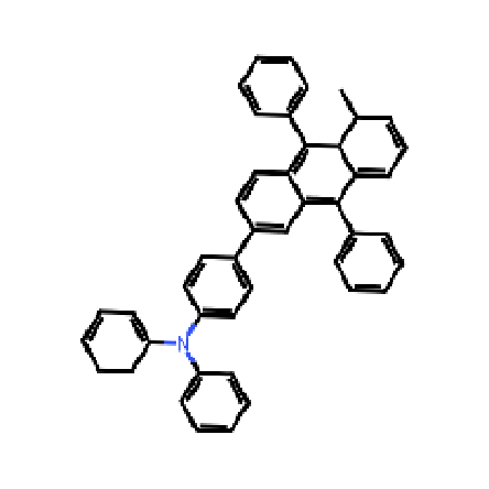 CC1C=CC=C2C(c3ccccc3)=c3cc(-c4ccc(N(C5=CC=CCC5)c5ccccc5)cc4)ccc3=C(c3ccccc3)C21